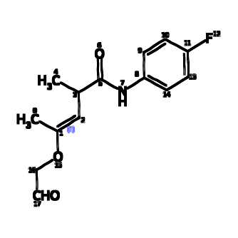 C/C(=C\C(C)C(=O)Nc1ccc(F)cc1)OCC=O